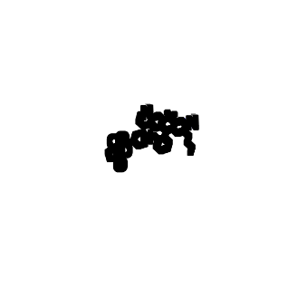 CCCCC1=CC2=C(c3ccccc3CN3CCC(C(=O)ON4C(=O)CCC4=O)CC3)c3cc4c(cc3C(C)(C)C2=C/C1=N\C)N(C)CCC4